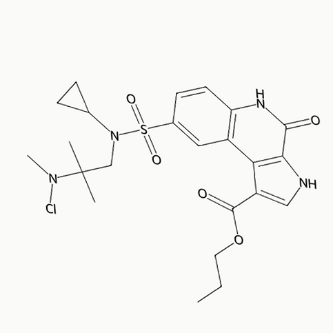 CCCOC(=O)c1c[nH]c2c(=O)[nH]c3ccc(S(=O)(=O)N(CC(C)(C)N(C)Cl)C4CC4)cc3c12